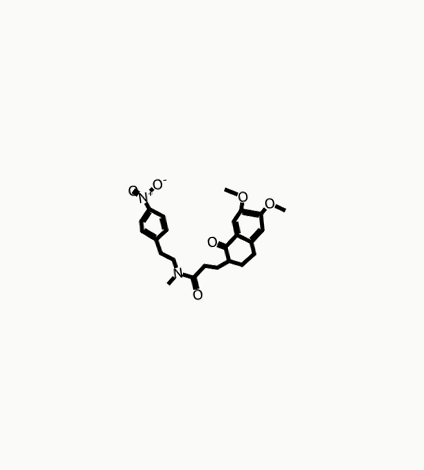 COc1cc2c(cc1OC)C(=O)C(CCC(=O)N(C)CCc1ccc([N+](=O)[O-])cc1)CC2